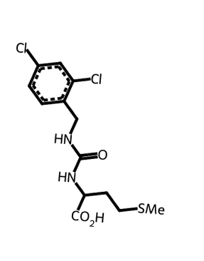 CSCCC(NC(=O)NCc1ccc(Cl)cc1Cl)C(=O)O